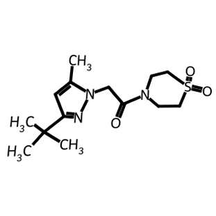 Cc1cc(C(C)(C)C)nn1CC(=O)N1CCS(=O)(=O)CC1